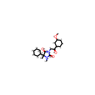 COC1CCCC(C(=O)CN2C(=O)N(C)C(C)(C3CCCCC3)C2=O)C1